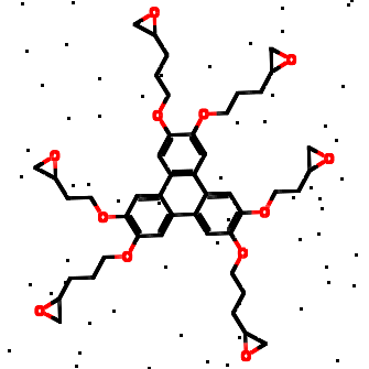 c1c(OCCCC2CO2)c(OCCCC2CO2)cc2c1c1cc(OCCC3CO3)c(OCCCC3CO3)cc1c1cc(OCCCC3CO3)c(OCCC3CO3)cc21